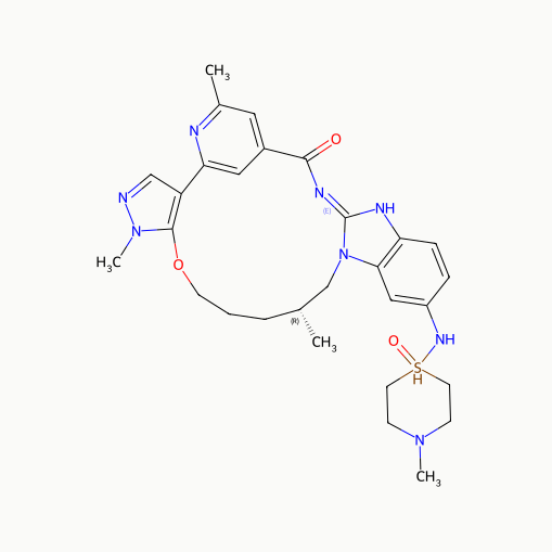 Cc1cc2cc(n1)-c1cnn(C)c1OCCC[C@@H](C)CN1/C(=N/C2=O)Nc2ccc(N[SH]3(=O)CCN(C)CC3)cc21